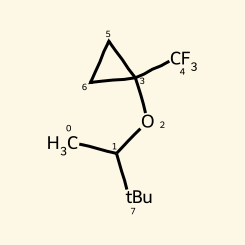 CC(OC1(C(F)(F)F)CC1)C(C)(C)C